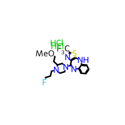 COCCC1CN(C2=Nc3ccccc3Nc3sc(C(F)(F)F)nc32)CCN1CCCF.Cl.Cl